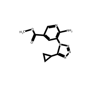 COC(=O)c1cnc(N)c(-n2nnnc2C2CC2)c1